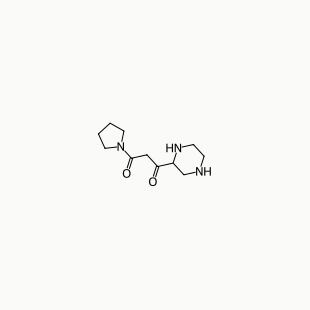 O=C(CC(=O)N1CCCC1)C1CNCCN1